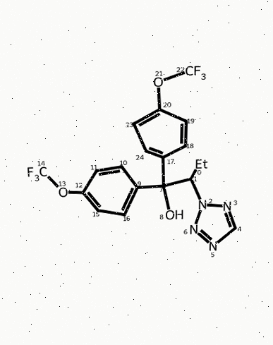 CCC(n1ncnn1)C(O)(c1ccc(OC(F)(F)F)cc1)c1ccc(OC(F)(F)F)cc1